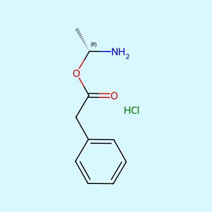 C[C@H](N)OC(=O)Cc1ccccc1.Cl